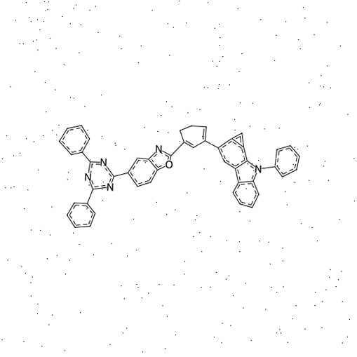 C1=c2c(C3=CCCC(c4nc5cc(-c6nc(-c7ccccc7)nc(-c7ccccc7)n6)ccc5o4)=C3)cc3c4ccccc4n(-c4ccccc4)c3c2=1